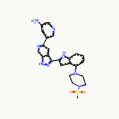 CS(=O)(=O)N1CCN(c2cccc3[nH]c(-c4n[nH]c5cnc(-c6cncc(N)c6)cc45)cc23)CC1